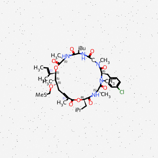 C/C=C(\C)[C@H]1OC(=O)[C@H](C)NC(=O)C(C(C)CC)NC(=O)CN(C)C(=O)[C@@H](Cc2ccc(Cl)cc2)N(C)C(=O)[C@H](C)NC(=O)[C@@H](CC(C)C)OC(=O)/C(C)=C/C[C@H](OCSC)[C@@H]1C